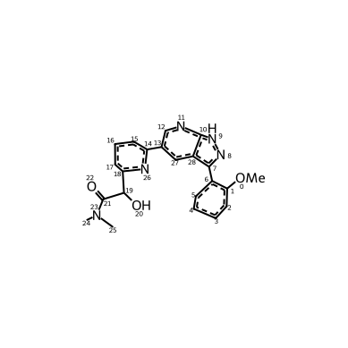 COc1ccccc1-c1n[nH]c2ncc(-c3cccc(C(O)C(=O)N(C)C)n3)cc12